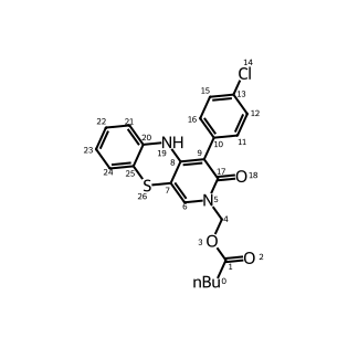 CCCCC(=O)OCn1cc2c(c(-c3ccc(Cl)cc3)c1=O)Nc1ccccc1S2